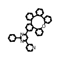 c1ccc(-c2nc(-c3cccnc3)cc(-c3ccc4c(c3)-c3ccccc3Oc3ccccc3-c3ccccc3-c3ccccc3-4)n2)cc1